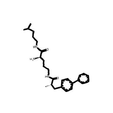 CC(C)CCCNC(=O)[C@H](N)CCCNC(=O)[C@@H](C)Cc1ccc(-c2ccccc2)cc1